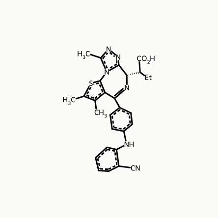 CCC(C(=O)O)[C@@H]1N=C(c2ccc(Nc3ccccc3C#N)cc2)c2c(sc(C)c2C)-n2c(C)nnc21